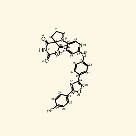 O=C1NC(=O)C2(CCCN2c2ccc(Oc3ccc(-c4noc(-c5ccc(F)cc5)n4)cc3)nc2)C(=O)N1